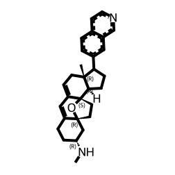 CN[C@@H]1CCC2=CC3=CC[C@]4(C)C(c5ccc6ccncc6c5)CC[C@H]4[C@@]34CC[C@]2(C1)O4